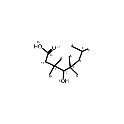 CC(C)CC(C)(C)C(O)C(C)(C)CC(=O)O